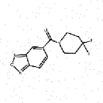 O=C(c1ccc2nonc2c1)N1CCC(F)(F)CC1